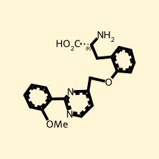 COc1ccccc1-c1nccc(COc2ccccc2C[C@@H](N)C(=O)O)n1